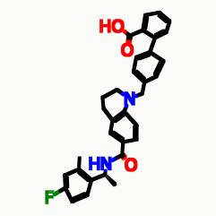 Cc1cc(F)ccc1[C@H](C)NC(=O)c1ccc2c(c1)CCCN2Cc1ccc(-c2ccccc2C(=O)O)cc1